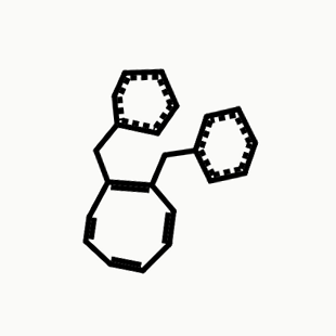 C1=CC=CC(Cc2ccccc2)=C(Cc2ccccc2)C=C1